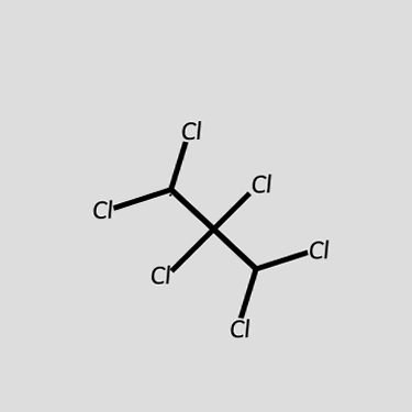 Cl[C](Cl)C(Cl)(Cl)C(Cl)Cl